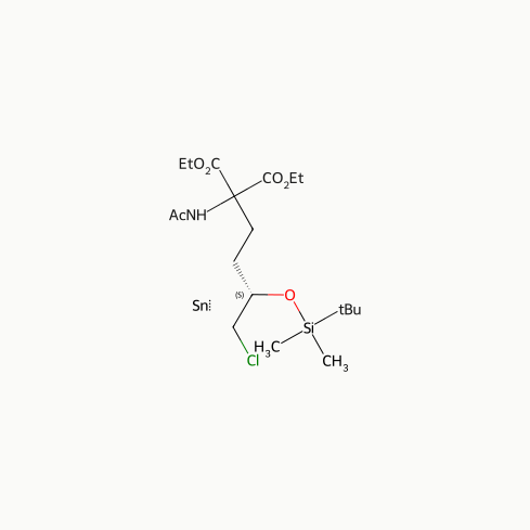 CCOC(=O)C(CC[C@@H](CCl)O[Si](C)(C)C(C)(C)C)(NC(C)=O)C(=O)OCC.[Sn]